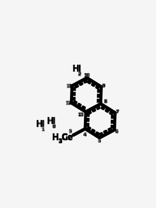 I.I.I.[GeH3][c]1cccc2ccccc12